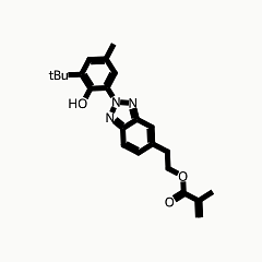 C=C(C)C(=O)OCCc1ccc2nn(-c3cc(C)cc(C(C)(C)C)c3O)nc2c1